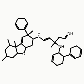 CC1CC(C)C2(C)C3=CC(C)(C4=CCCC=C4)C(N/C=C/C(C)(CC=N)NC4C=CCCC4C4=CC=CCC4)CC3OC2C1